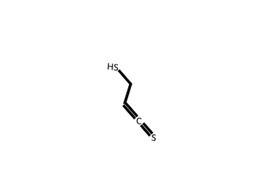 S=C=CCS